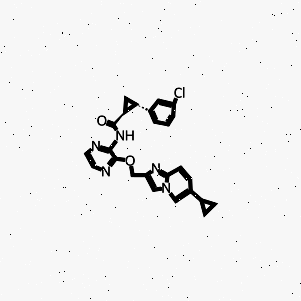 O=C(Nc1nccnc1OCc1cn2cc(C3CC3)ccc2n1)[C@H]1C[C@@H]1c1cccc(Cl)c1